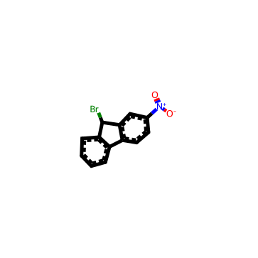 O=[N+]([O-])c1ccc2c(c1)C(Br)c1ccccc1-2